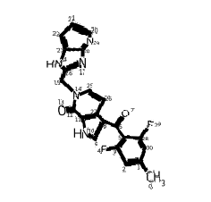 Cc1cc(F)c(C(=O)c2c[nH]c3c(=O)n(Cc4nc5ncccc5[nH]4)ccc23)c(F)c1